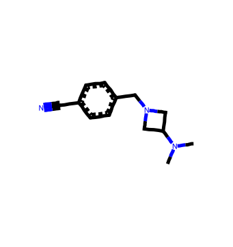 CN(C)C1CN(Cc2ccc(C#N)cc2)C1